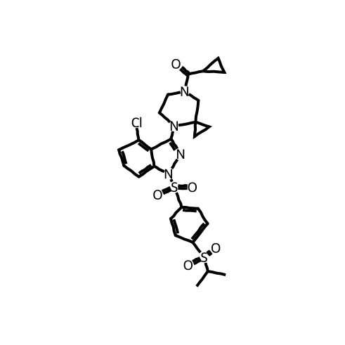 CC(C)S(=O)(=O)c1ccc(S(=O)(=O)n2nc(N3CCN(C(=O)C4CC4)CC34CC4)c3c(Cl)cccc32)cc1